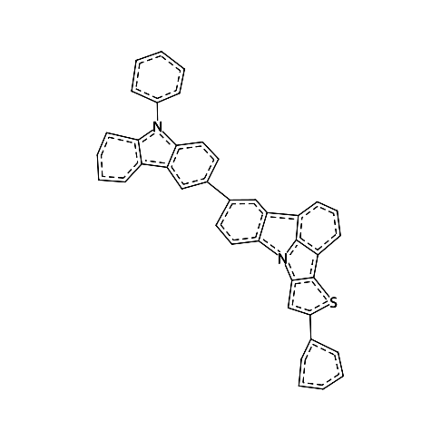 c1ccc(-c2cc3c(s2)c2cccc4c5cc(-c6ccc7c(c6)c6ccccc6n7-c6ccccc6)ccc5n3c42)cc1